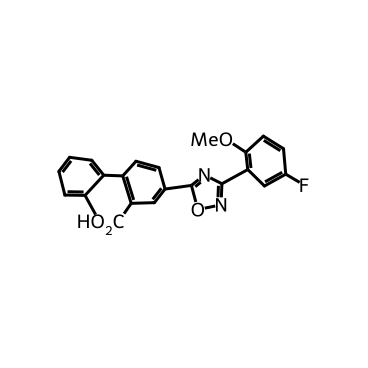 COc1ccc(F)cc1-c1noc(-c2ccc(-c3ccccc3C)c(C(=O)O)c2)n1